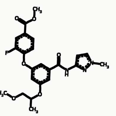 COCC(C)Oc1cc(Oc2ccc(C(=O)OC)cc2F)cc(C(=O)Nc2ccn(C)n2)c1